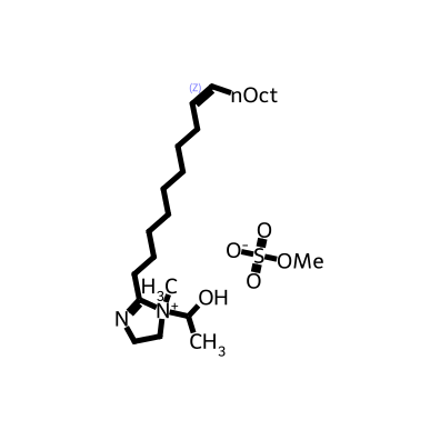 CCCCCCCC/C=C\CCCCCCCCC1=NCC[N+]1(C)C(C)O.COS(=O)(=O)[O-]